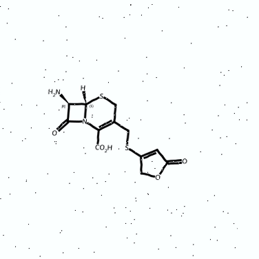 N[C@@H]1C(=O)N2C(C(=O)O)=C(CSC3=CC(=O)OC3)CS[C@@H]12